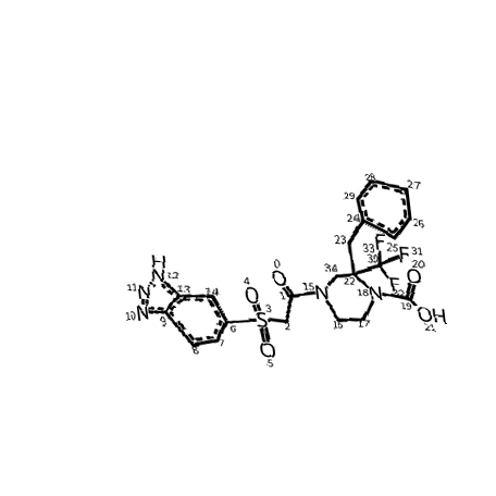 O=C(CS(=O)(=O)c1ccc2nn[nH]c2c1)N1CCN(C(=O)O)C(Cc2ccccc2)(C(F)(F)F)C1